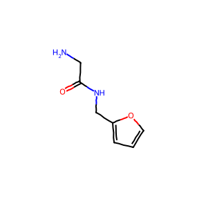 NCC(=O)NCc1ccco1